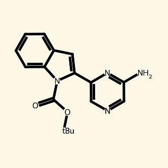 CC(C)(C)OC(=O)n1c(-c2cncc(N)n2)cc2ccccc21